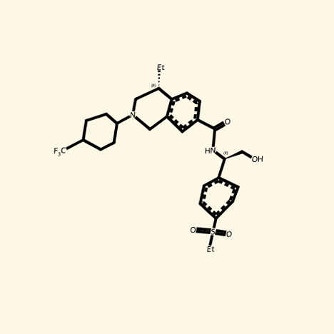 CC[C@H]1CN(C2CCC(C(F)(F)F)CC2)Cc2cc(C(=O)N[C@@H](CO)c3ccc(S(=O)(=O)CC)cc3)ccc21